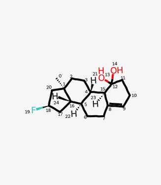 C[C@]12CC[C@H]3[C@@H](CCC4=CCCC(O)(O)[C@@H]43)[C@@H]1C[C@@H](F)C2